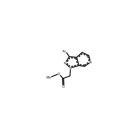 CC(=O)c1nn(CC(=O)OC(C)(C)C)c2cnccc12